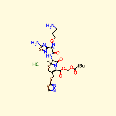 CC(C)(C)C(=O)OCOC(=O)C1=C(CSc2nncs2)CS[C@@H]2C(NC(=O)/C(=N/OCCCN)c3nsc(N)n3)C(=O)N12.Cl